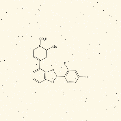 CC(C)(C)C1CC(c2cccc3c2OC(c2ccc(Cl)cc2F)O3)=CCN1C(=O)O